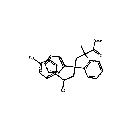 CCC(CC(CC(C)(C)C(=O)OC)(c1ccccc1)c1ccccc1)c1ccc(C(C)(C)C)cc1